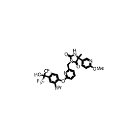 CCCc1cc(C(O)(C(F)(F)F)C(F)(F)F)ccc1Oc1cccc(CN2C(=O)NC(C)(c3ccc(OC)nc3)C2=O)n1